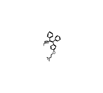 CCC(=C(c1ccccc1)c1ccc(OCCN(C)C)cc1)c1ccccc1.CCCI